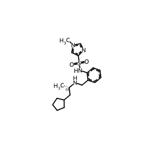 C[C@@H](CC1CCCC1)NCc1ccccc1NS(=O)(=O)c1cn(C)cn1